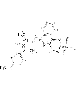 CCc1ccc(C(C)C(=O)N(C)CC[C@@H](Oc2ccc(C(F)(F)F)cc2)c2ccccc2)cc1